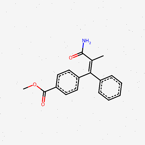 COC(=O)c1ccc(C(=C(C)C(N)=O)c2ccccc2)cc1